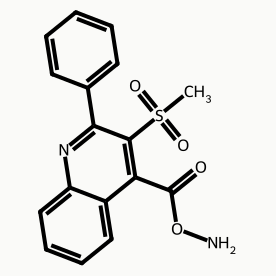 CS(=O)(=O)c1c(-c2ccccc2)nc2ccccc2c1C(=O)ON